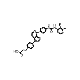 Cc1cccc(NC(=O)Nc2ccc(-c3ncnc4c(-c5ccc(CCC(=O)O)cc5)csc34)cc2)c1F